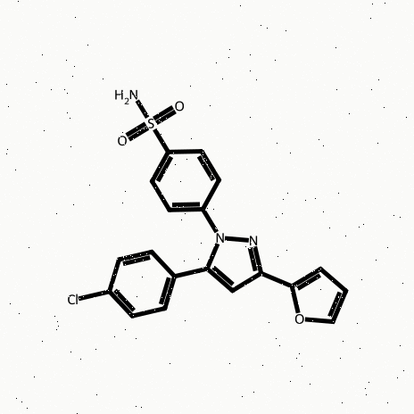 NS(=O)(=O)c1ccc(-n2nc(-c3ccco3)cc2-c2ccc(Cl)cc2)cc1